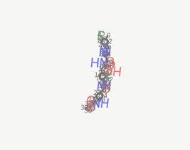 Cc1cc(Cn2cc(C(=O)NC(Cc3ccc(-c4noc(-c5ccc(NC(=O)OC(C)(C)C)cc5)n4)c(F)c3)C(=O)O)cn2)ccc1F